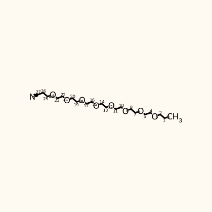 CCCOCCOCCOCCOCCOCCOCCOCCOCCC#N